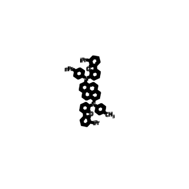 CCCc1ccc(N(c2ccc3ccc4c(N(c5ccc(C)cc5)c5cccc6c5oc5c(C(C)C)cccc56)ccc5ccc2c3c54)c2cccc3c2oc2c(C(C)C)cccc23)cc1